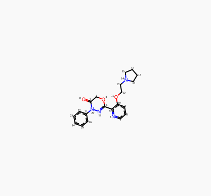 O=C1COC(c2ncccc2OCCN2CCCC2)=NN1c1ccccc1